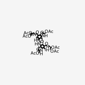 CC(=O)OCC(=O)Nc1c(I)c(NC(=O)Nc2c(I)c(NC(=O)COC(C)=O)c(I)c(C(=O)NCC(COC(C)=O)OC(C)=O)c2I)c(I)c(C(=O)NCC(COC(C)=O)OC(C)=O)c1I